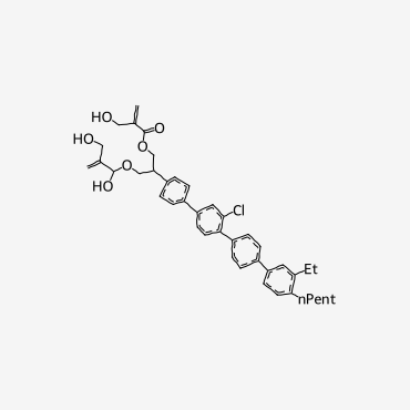 C=C(CO)C(=O)OCC(COC(O)C(=C)CO)c1ccc(-c2ccc(-c3ccc(-c4ccc(CCCCC)c(CC)c4)cc3)c(Cl)c2)cc1